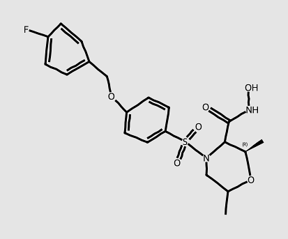 CC1CN(S(=O)(=O)c2ccc(OCc3ccc(F)cc3)cc2)C(C(=O)NO)[C@@H](C)O1